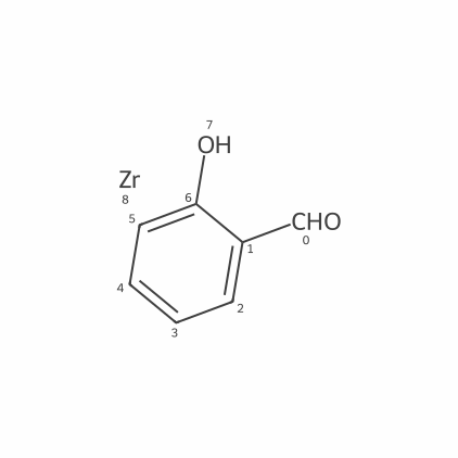 O=Cc1ccccc1O.[Zr]